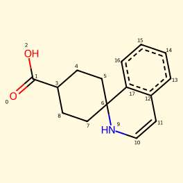 O=C(O)C1CCC2(CC1)NC=Cc1ccccc12